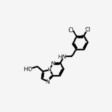 OCc1cnc2ccc(NCc3ccc(Cl)c(Cl)c3)nn12